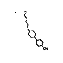 N#Cc1ccc(C2CCC(CCCCCF)CC2)cc1